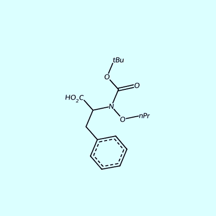 CCCON(C(=O)OC(C)(C)C)C(Cc1ccccc1)C(=O)O